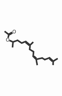 CC(=O)OC(C)CCC=C(C)CCC=C(C)CCC=C(C)C